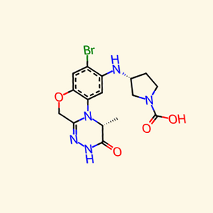 C[C@@H]1C(=O)NN=C2COc3cc(Br)c(N[C@@H]4CCN(C(=O)O)C4)cc3N21